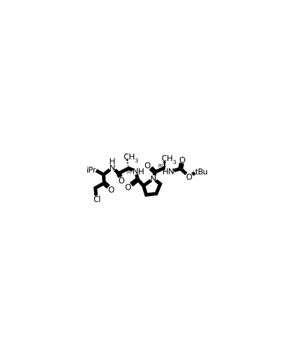 CC(C)C(NC(=O)[C@H](C)NC(=O)C1CCCN1C(=O)[C@@H](C)NC(=O)OC(C)(C)C)C(=O)CCl